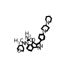 CN(C1CCOCC1)N(C(N)=O)c1cccc2c1C(=O)C1=C(c3ccc(N4CCC(N5CCCCC5)CC4)cc3)N=NC12